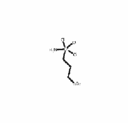 CCCCCC[CH2][Cr]([NH2])([Cl])([Cl])[Cl]